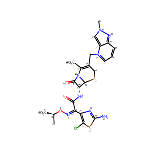 C[C@H](O/N=C(\C(=O)N[C@@H]1C(=O)N2C(C(=O)O)=C(C[n+]3cccc4nn(C)cc43)CSC12)c1nc(N)sc1Cl)C(=O)O